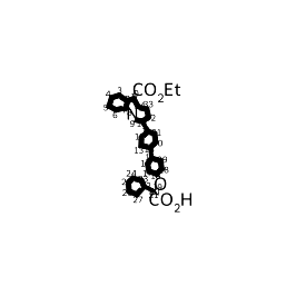 CCOC(=O)c1c2ccccc2n2cc(-c3ccc(-c4ccc(OC(C(=O)O)c5ccccc5)cc4)cc3)ccc12